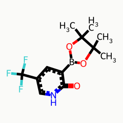 CC1(C)OB(c2cc(C(F)(F)F)c[nH]c2=O)OC1(C)C